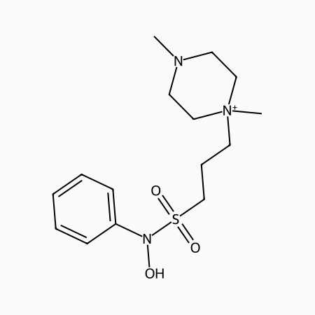 CN1CC[N+](C)(CCCS(=O)(=O)N(O)c2ccccc2)CC1